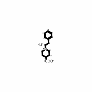 O=C([O-])C1CCN(CCc2ccccc2)CC1.[Li+]